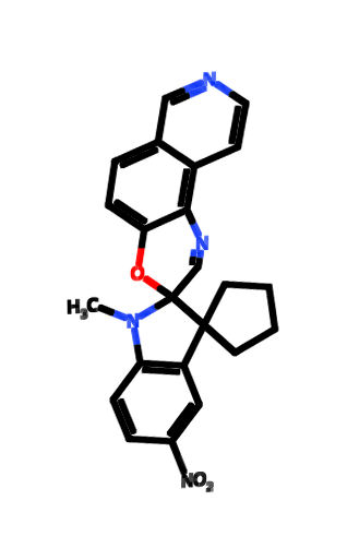 CN1c2ccc([N+](=O)[O-])cc2C2(CCCC2)C12C=Nc1c(ccc3cnccc13)O2